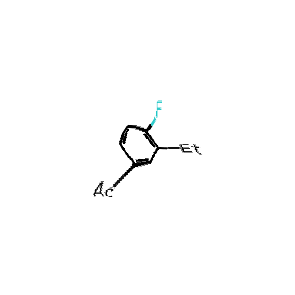 CCc1cc(C(C)=O)ccc1F